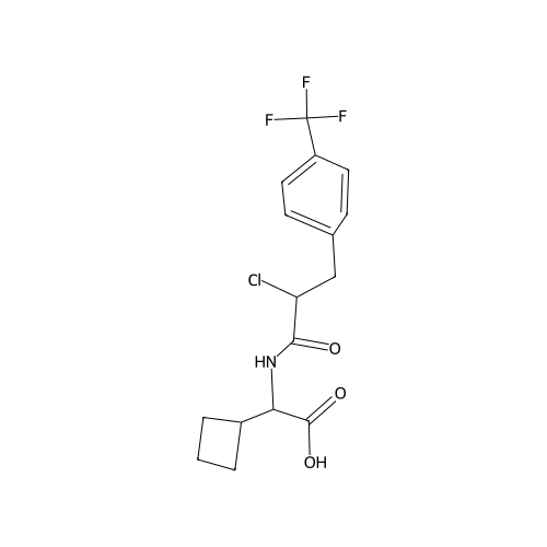 O=C(NC(C(=O)O)C1CCC1)C(Cl)Cc1ccc(C(F)(F)F)cc1